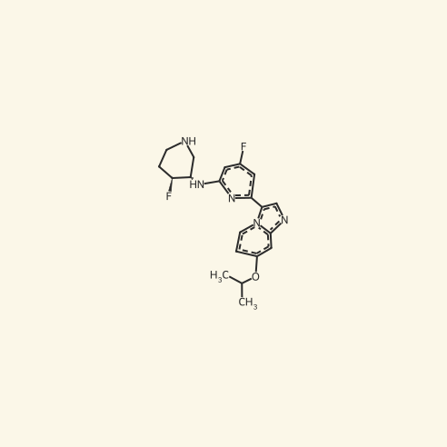 CC(C)Oc1ccn2c(-c3cc(F)cc(N[C@H]4CNCC[C@@H]4F)n3)cnc2c1